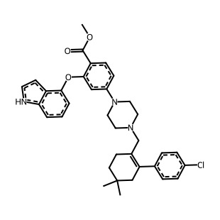 COC(=O)c1ccc(N2CCN(CC3=C(c4ccc(Cl)cc4)CC(C)(C)CC3)CC2)cc1Oc1cccc2[nH]ccc12